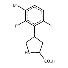 O=C(O)C1CC(c2c(F)ccc(Br)c2F)CN1